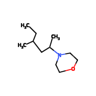 CCC(C)CC(C)N1CCOCC1